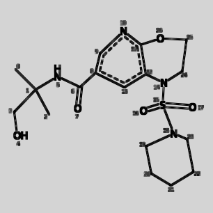 CC(C)(CO)NC(=O)c1cnc2c(c1)N(S(=O)(=O)N1CCCCC1)CCO2